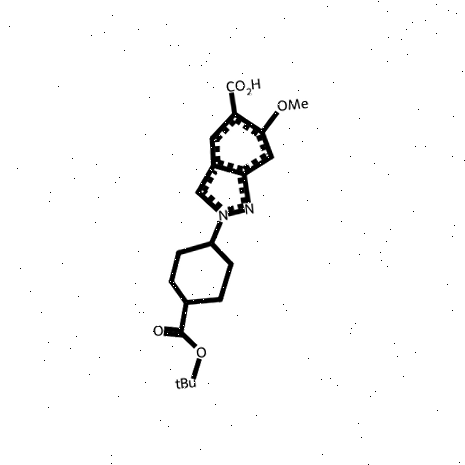 COc1cc2nn(C3CCC(C(=O)OC(C)(C)C)CC3)cc2cc1C(=O)O